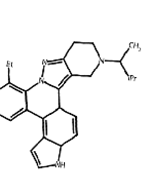 CCc1cccc2c1-n1nc3c(c1C1C=CC4NC=CC4=C21)CN(C(C)C(C)C)CC3